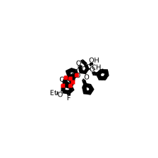 CCOc1ccc(Cc2cc([C@]34OC[C@](C(C)O)(O3)[C@@H](OCc3ccccc3)[C@H](OCc3ccccc3)[C@H]4OCc3ccccc3)ccc2Cl)cc1F